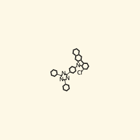 Clc1cccc2c3cc4ccccc4cc3n(-c3ccc(-c4nc(-c5ccccc5)nc(-c5ccccc5)n4)cc3)c12